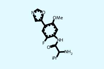 COc1cc(NC(=O)C(N)C(C)C)c(F)cc1-c1cnco1